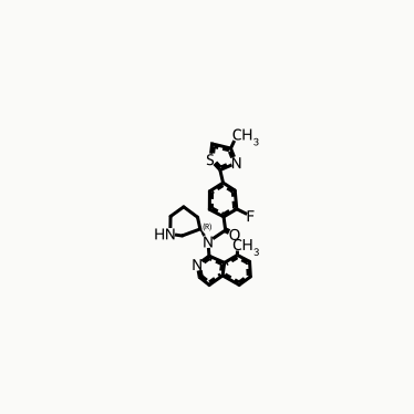 Cc1csc(-c2ccc(C(=O)N(c3nccc4cccc(C)c34)[C@@H]3CCCNC3)c(F)c2)n1